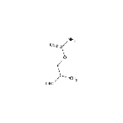 CC(C=O)COC(N)=O